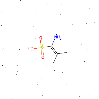 CC(C)=C(N)S(=O)(=O)O